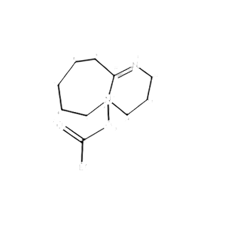 CCC(=O)O[N+]12CCCCCC1=NCCC2